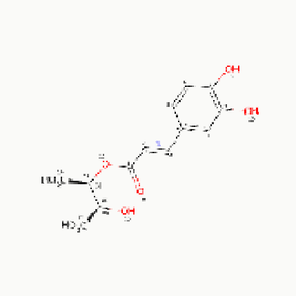 O=C(/C=C/c1ccc(O)c(O)c1)O[C@H](C(=O)O)[C@@H](O)C(=O)O